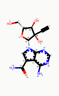 C#C[C@@]1(O)[C@H](O)[C@@H](CO)O[C@H]1n1cc(C(N)=O)c2c(N)ncnc21